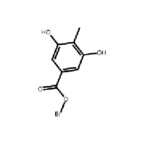 Cc1c(O)cc(C(=O)OBr)cc1O